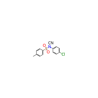 Cc1ccc(S(=O)(=O)N(C#N)c2ccc(Cl)cc2)cc1